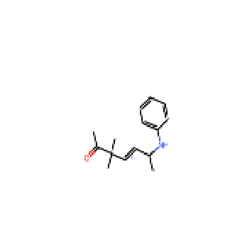 CC(=O)C(C)(C)/C=C/C(C)Nc1ccccc1